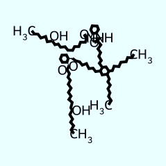 CCCCCCCCC1CC(CCCCCCC(=O)C[C@@H]2CCCC[C@H]2CC(=O)CCCCCCCCCCC(O)CCCCCC)C(CCCCCCC(=O)N[C@H]2CCCC[C@@H]2NC(=O)CCCCCCCCCCC(O)CCCCCC)CC1CCCCCCCC